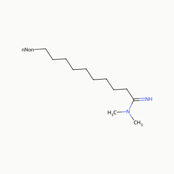 CCCCCCCCCCCCCCCCCCC(=N)N(C)C